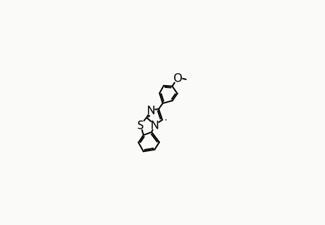 COc1ccc(-c2[c]n3c(n2)sc2ccccc23)cc1